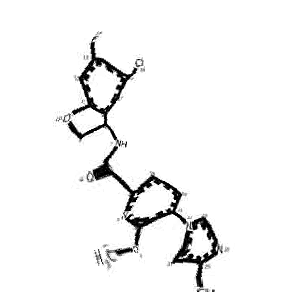 COc1nc(C(=O)NC2COc3cc(F)c(Cl)cc32)ccc1-n1cnc(C)c1